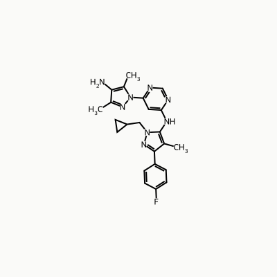 Cc1nn(-c2cc(Nc3c(C)c(-c4ccc(F)cc4)nn3CC3CC3)ncn2)c(C)c1N